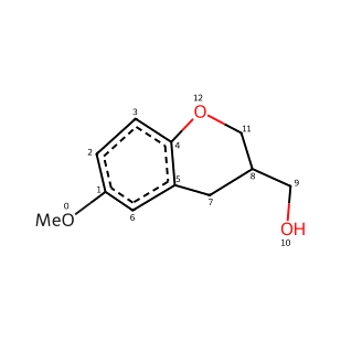 COc1ccc2c(c1)CC(CO)CO2